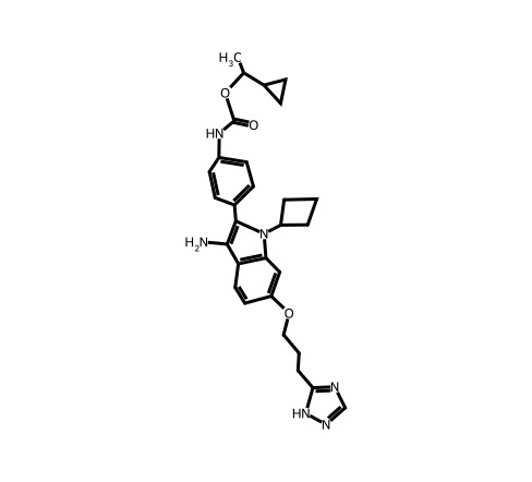 CC(OC(=O)Nc1ccc(-c2c(N)c3ccc(OCCCc4ncn[nH]4)cc3n2C2CCC2)cc1)C1CC1